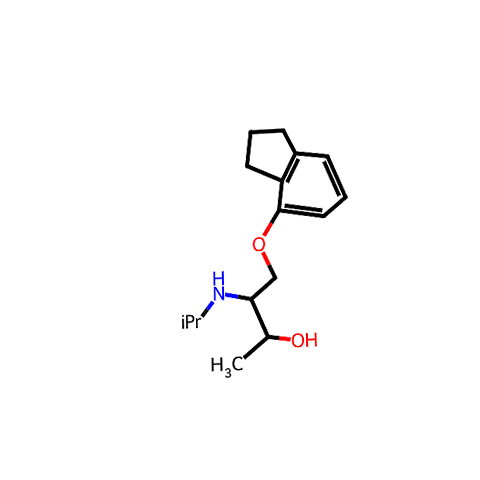 CC(C)NC(COc1cccc2c1CCC2)C(C)O